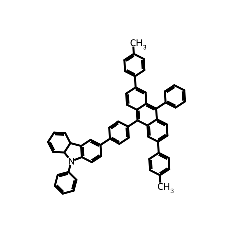 Cc1ccc(-c2ccc3c(-c4ccc(-c5ccc6c(c5)C5C=CC=CC5N6c5ccccc5)cc4)c4cc(-c5ccc(C)cc5)ccc4c(-c4ccccc4)c3c2)cc1